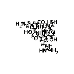 C[C@@H](O)[C@H](NC(=O)[C@H](CCCNC(=N)N)NC(=O)[C@@H](NC(=O)[C@@H](N)CS)[C@@H](C)O)C(=O)N[C@@H](CCCCN)C(=O)O